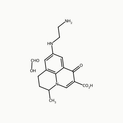 CC1CCc2cc(NCCN)cc3c(=O)c(C(=O)O)cn1c23.O=CO